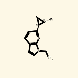 CC(C)[C@H]1C[C@@H]1c1ccc2ccn(CC(F)(F)F)c2n1